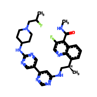 CNC(=O)c1c(F)cnc2c([C@H](C)CNc3cc(-c4cnc(NC5CCN(CC(C)F)CC5)nc4)ncn3)cccc12